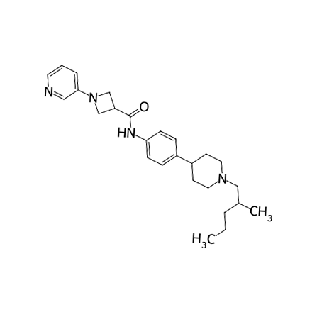 CCCC(C)CN1CCC(c2ccc(NC(=O)C3CN(c4cccnc4)C3)cc2)CC1